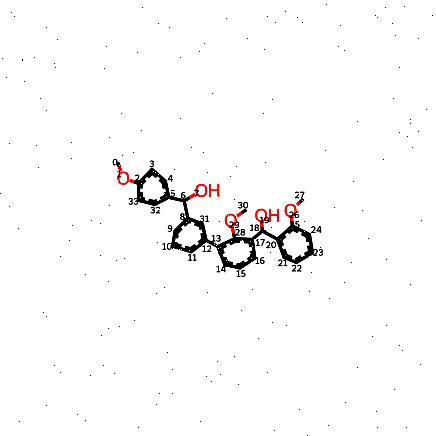 COc1ccc(C(O)c2cccc(-c3cccc(C(O)c4ccccc4OC)c3OC)c2)cc1